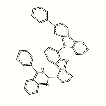 c1ccc(C2=c3ccccc3=NC(c3cccc4oc5c(-n6c7ccccc7c7ccc(-c8ccccc8)cc76)cccc5c34)N2)cc1